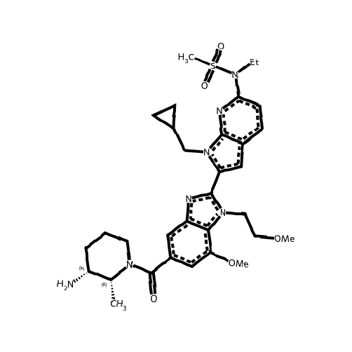 CCN(c1ccc2cc(-c3nc4cc(C(=O)N5CCC[C@@H](N)[C@H]5C)cc(OC)c4n3CCOC)n(CC3CC3)c2n1)S(C)(=O)=O